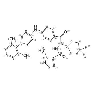 Cc1cncc(C)c1-c1ccc(Nc2ccc(C(=O)[C@@H](NC(=O)c3ccnn3C)C3CCC(F)(F)CC3)cc2)cc1